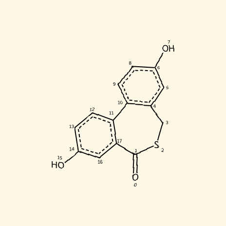 O=C1SCc2cc(O)ccc2-c2ccc(O)cc21